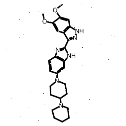 COc1cc2[nH]nc(-c3nc4ccc(N5CCC(N6CCCCC6)CC5)cc4[nH]3)c2cc1OC